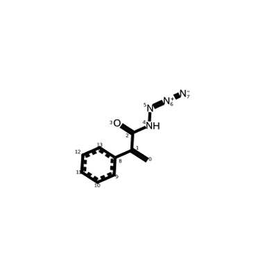 C=C(C(=O)NN=[N+]=[N-])c1ccccc1